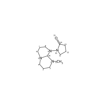 CN1CCCN2CCCN(N3CCCC3=O)C12